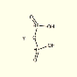 O=[PH](O)O[PH](=O)O.[Y]